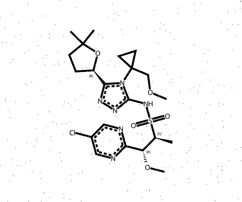 COCC1(n2c(NS(=O)(=O)[C@@H](C)[C@H](OC)c3ncc(Cl)cn3)nnc2[C@H]2CCC(C)(C)O2)CC1